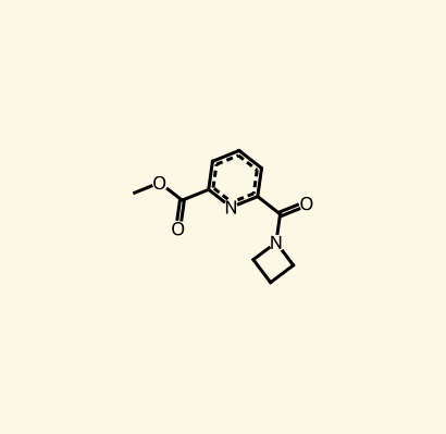 COC(=O)c1cccc(C(=O)N2CCC2)n1